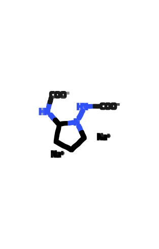 O=C([O-])NC1CCCN1NC(=O)[O-].[Na+].[Na+]